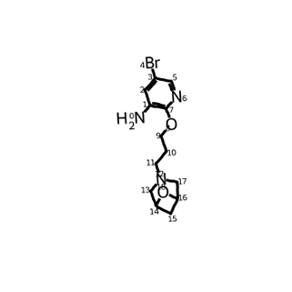 Nc1cc(Br)cnc1OCCCN1CC2CC(C1)O2